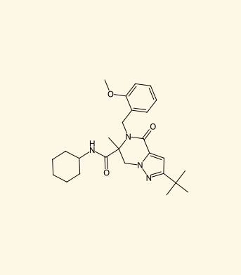 COc1ccccc1CN1C(=O)c2cc(C(C)(C)C)nn2CC1(C)C(=O)NC1CCCCC1